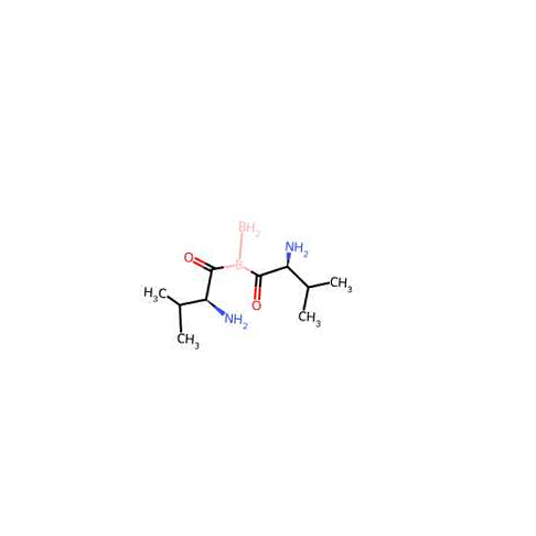 BB(C(=O)[C@@H](N)C(C)C)C(=O)[C@@H](N)C(C)C